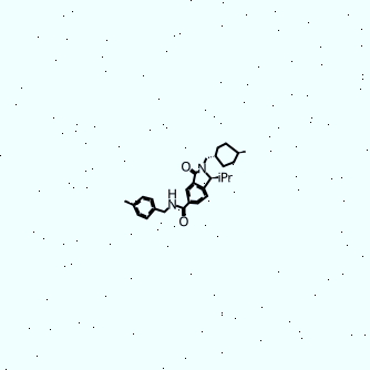 Cc1ccc(CNC(=O)c2ccc3c(c2)C(=O)N(C[C@H]2CC[C@H](C)CC2)[C@H]3C(C)C)cc1